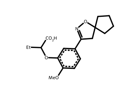 CCC(Oc1cc(C2=NOC3(CCCC3)C2)ccc1OC)C(=O)O